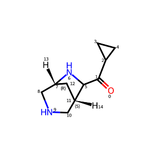 O=C(C1CC1)C1N[C@H]2CNC[C@@H]1C2